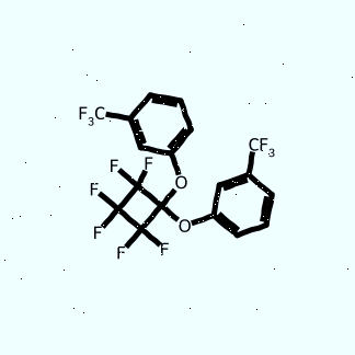 FC(F)(F)c1cccc(OC2(Oc3cccc(C(F)(F)F)c3)C(F)(F)C(F)(F)C2(F)F)c1